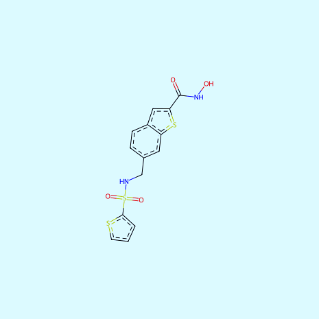 O=C(NO)c1cc2ccc(CNS(=O)(=O)c3cccs3)cc2s1